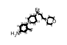 CCN(CCN1CCOCC1)C1CCN(c2ccc(N)cc2F)CC1